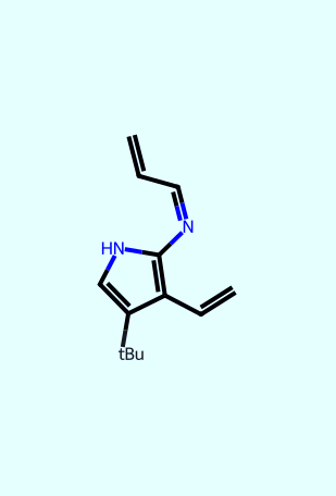 C=C/C=N\c1[nH]cc(C(C)(C)C)c1C=C